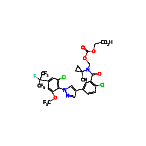 N#CC1(N(COC(=O)OCC(=O)O)C(=O)c2cc(-c3cnn(-c4c(Cl)cc(C(F)(C(F)(F)F)C(F)(F)F)cc4OC(F)(F)F)c3)ccc2Cl)CC1